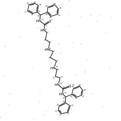 S=C(NCCCNCCCNCCCNC(=S)NC(c1ccccc1)c1ccccc1)NC(c1ccccc1)c1ccccc1